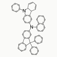 C1=CC2c3cc(N(c4ccc5c(c4)C(c4ccccc4)(c4ccccc4)c4ccccc4-5)c4cccc5ccccc45)ccc3N(c3ccccc3)C2C=C1